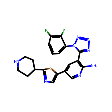 Nc1ncc(-c2cnc(C3CCNCC3)s2)cc1-c1nnnn1-c1cccc(F)c1F